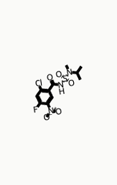 CC(C)N(C)S(=O)(=O)NC(=O)c1cc([N+](=O)[O-])c(F)cc1Cl